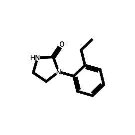 CCc1ccccc1N1CCNC1=O